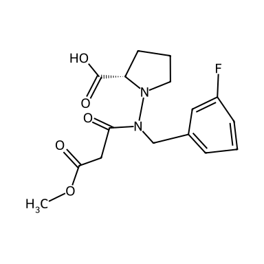 COC(=O)CC(=O)N(Cc1cccc(F)c1)N1CCC[C@H]1C(=O)O